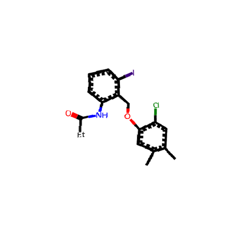 CCC(=O)Nc1cccc(I)c1COc1cc(C)c(C)cc1Cl